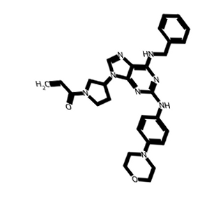 C=CC(=O)N1CCC(n2cnc3c(NCc4ccccc4)nc(Nc4ccc(N5CCOCC5)cc4)nc32)C1